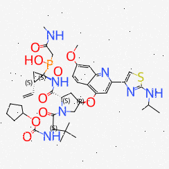 C=C[C@@H]1C[C@]1(NC(=O)[C@@H]1C[C@@H](Oc2cc(-c3csc(NC(C)C)n3)nc3cc(OC)ccc23)CN1C(=O)[C@@H](NC(=O)OC1CCCC1)C(C)(C)C)P(=O)(O)CC(=O)NC